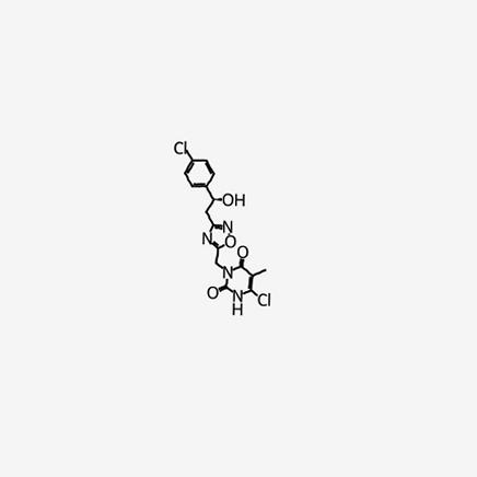 Cc1c(Cl)[nH]c(=O)n(Cc2nc(C[C@H](O)c3ccc(Cl)cc3)no2)c1=O